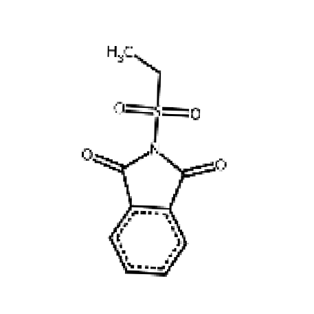 CCS(=O)(=O)N1C(=O)c2ccccc2C1=O